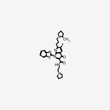 CC1CCCN1CCCc1nc2c(cc1F)c(=O)c(C(=O)NCCN1CCCC1)cn2-c1nc2ccccc2s1